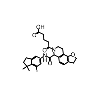 CC1(C)CCc2cc(NC(=O)C3c4ccc5c(c4CCN3C(=O)CCCC(=O)O)OCC5)cc(F)c21